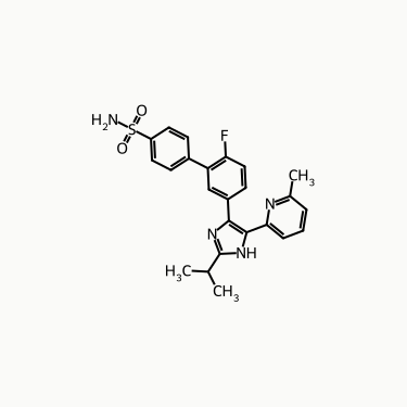 Cc1cccc(-c2[nH]c(C(C)C)nc2-c2ccc(F)c(-c3ccc(S(N)(=O)=O)cc3)c2)n1